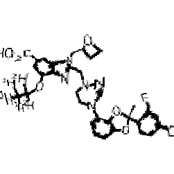 [2H]C([2H])([2H])C([2H])([2H])Oc1cc(C(=O)O)cc2c1nc(CN1CCN(c3cccc4c3O[C@](C)(c3ccc(Cl)cc3F)O4)C=N1)n2C[C@@H]1CCO1